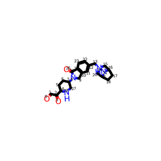 O=CC(=O)C1CCC(N2Cc3cc(CN4CC5CCC(C4)N5)ccc3C2=O)CN1